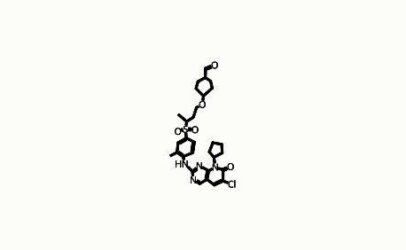 Cc1cc(S(=O)(=O)C(C)CCOC2CCC(C=O)CC2)ccc1Nc1ncc2cc(Cl)c(=O)n(C3CCCC3)c2n1